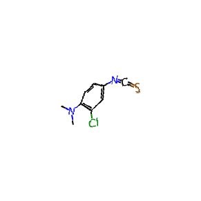 CN(C)c1ccc(N=C=S)cc1Cl